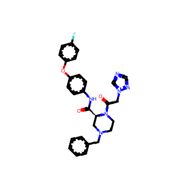 O=C(Nc1ccc(Oc2ccc(F)cc2)cc1)[C@@H]1CN(Cc2ccccc2)CCN1C(=O)Cn1cncn1